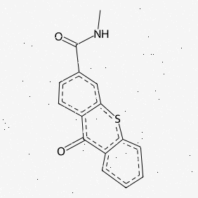 CNC(=O)c1ccc2c(=O)c3ccccc3sc2c1